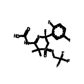 CC1(C)C(NC(=O)O)=N[C@](C)(c2cc(I)ccc2F)CS1(=O)=NCC(F)(F)F